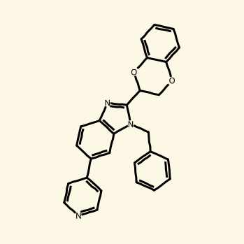 c1ccc(Cn2c(C3COc4ccccc4O3)nc3ccc(-c4ccncc4)cc32)cc1